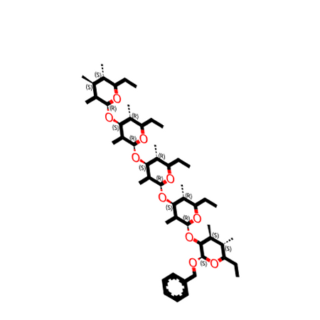 CCC1O[C@H](O[C@@H]2C(C)[C@@H](O[C@@H]3C(C)[C@@H](O[C@@H]4C(C)[C@@H](OC5[C@@H](OCc6ccccc6)OC(CC)[C@@H](C)[C@@H]5C)OC(CC)[C@H]4C)OC(CC)[C@H]3C)OC(CC)[C@H]2C)C(C)[C@@H](C)[C@@H]1C